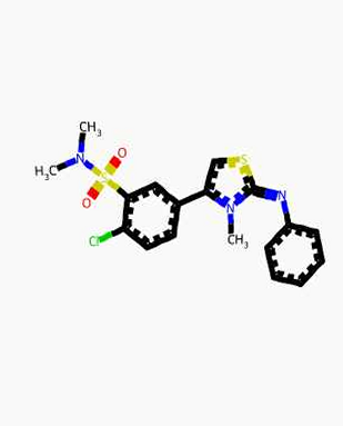 CN(C)S(=O)(=O)c1cc(-c2csc(=Nc3ccccc3)n2C)ccc1Cl